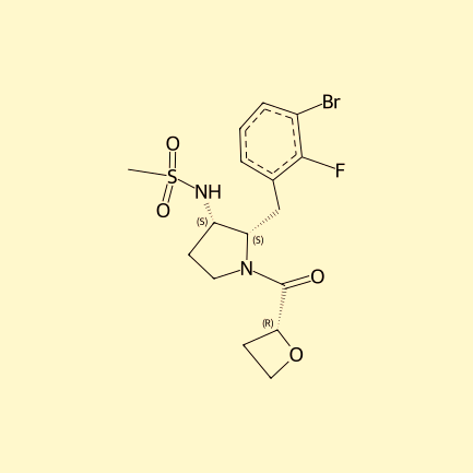 CS(=O)(=O)N[C@H]1CCN(C(=O)[C@H]2CCO2)[C@H]1Cc1cccc(Br)c1F